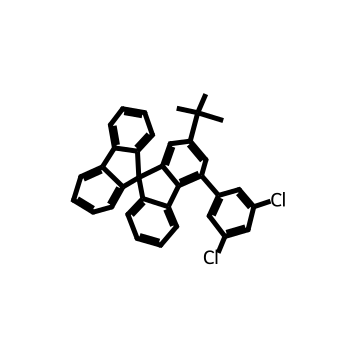 CC(C)(C)c1cc(-c2cc(Cl)cc(Cl)c2)c2c(c1)C1(c3ccccc3-c3ccccc31)c1ccccc1-2